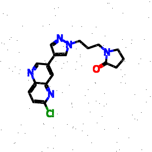 O=C1CCCN1CCCn1cc(-c2cnc3ccc(Cl)nc3c2)cn1